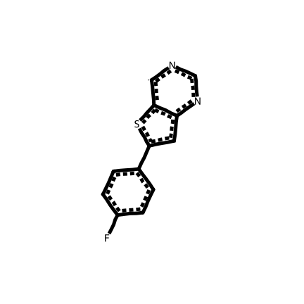 Fc1ccc(-c2cc3ncn[c]c3s2)cc1